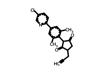 C#CCC1CC(=O)C(c2c(C)cc(-c3ccc(Cl)cn3)cc2C)C1=O